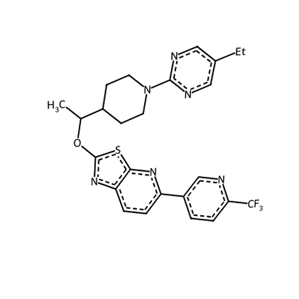 CCc1cnc(N2CCC(C(C)Oc3nc4ccc(-c5ccc(C(F)(F)F)nc5)nc4s3)CC2)nc1